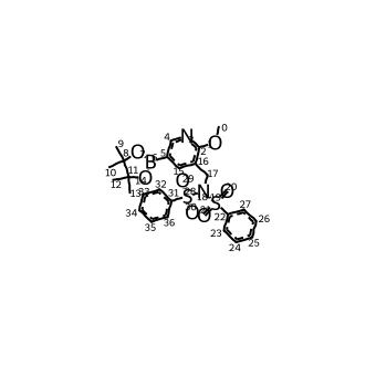 COc1ncc(B2OC(C)(C)C(C)(C)O2)cc1CN(S(=O)(=O)c1ccccc1)S(=O)(=O)c1ccccc1